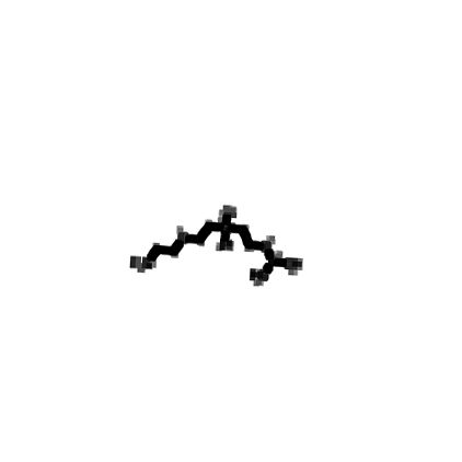 CC[N+](CC)(CCOCCN)CCOP(O)O